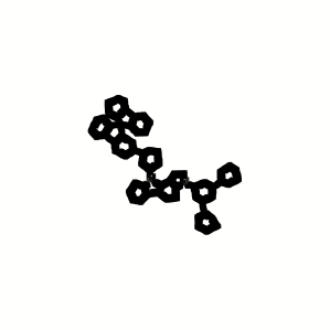 c1ccc(-c2cc(-c3ccccc3)cc(-n3ccc4c3ccc3c5ccccc5n(-c5cccc(-c6ccc7c(c6)C6(c8ccccc8-c8ccccc86)c6ccccc6-7)c5)c34)c2)cc1